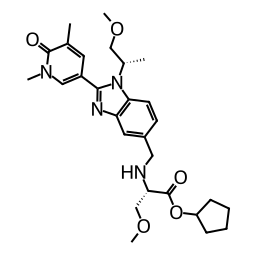 COC[C@H](NCc1ccc2c(c1)nc(-c1cc(C)c(=O)n(C)c1)n2[C@@H](C)COC)C(=O)OC1CCCC1